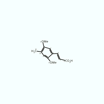 COc1cc(C=CC(=O)O)c(OC)cc1C